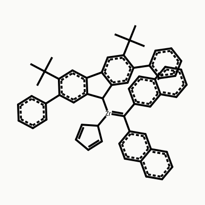 CC(C)(C)c1cc2c(cc1-c1ccccc1)[CH]([Zr](=[C](c1ccc3ccccc3c1)c1ccc3ccccc3c1)[CH]1C=CC=C1)c1cc(-c3ccccc3)c(C(C)(C)C)cc1-2